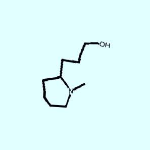 CN1CCCCC1CCCO